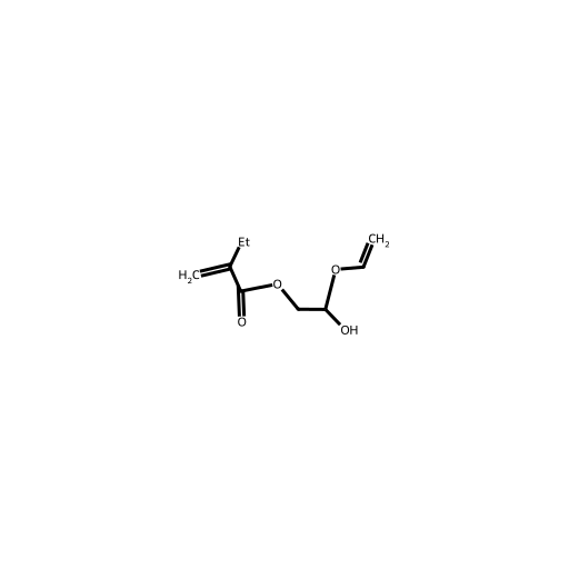 C=COC(O)COC(=O)C(=C)CC